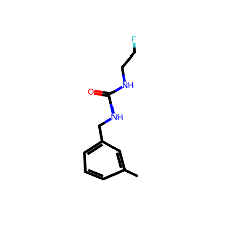 Cc1cccc(CNC(=O)NCCF)c1